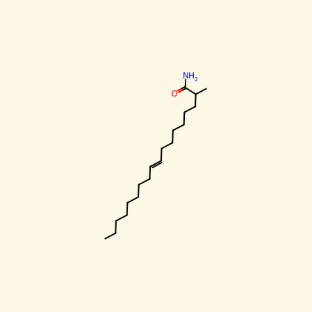 CCCCCCCC/C=C/CCCCCCC(C)C(N)=O